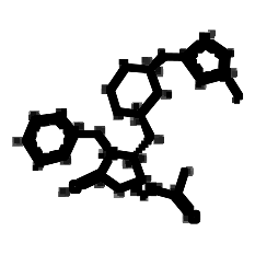 CC(N)=O.Cn1cnc(C[C@@H]2CCC[C@H](C[C@@H]3CCC(=O)N3Cc3ccccc3)C2)c1